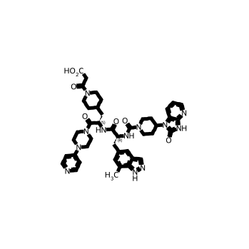 Cc1cc(C[C@@H](NC(=O)N2CCC(n3c(=O)[nH]c4ncccc43)CC2)C(=O)N[C@@H](CC2CCN(C(=O)CC(=O)O)CC2)C(=O)N2CCN(c3ccncc3)CC2)cc2cn[nH]c12